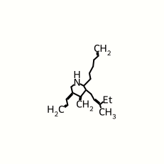 C=C/C=C1/CNC(CCCCC=C)C(C/C=C(/C)CC)C1=C